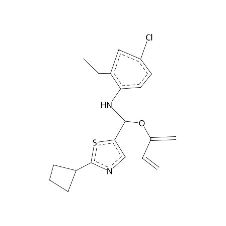 C=CC(=C)OC(Nc1ccc(Cl)cc1CC)c1cnc(C2CCC2)s1